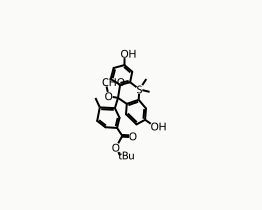 Cc1ccc(C(=O)OC(C)(C)C)cc1C1(OC=O)c2ccc(O)cc2S(C)(C)c2cc(O)ccc21